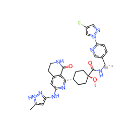 CO[C@]1(C(=O)N[C@@H](C)c2ccc(-n3cc(F)cn3)nc2)CC[C@@H](c2nc(Nc3cc(C)[nH]n3)cc3c2C(=O)NCC3)CC1